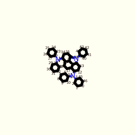 c1ccc(N(c2ccccc2)c2ccc3c4c2ccc2c(N(c5ccccc5)c5ccccc5)ccc(c24)n3-c2ccccc2)cc1